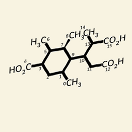 CC1CC(C(=O)O)C(C)[C@@H](C)C1C(CC(=O)O)C(C)C(=O)O